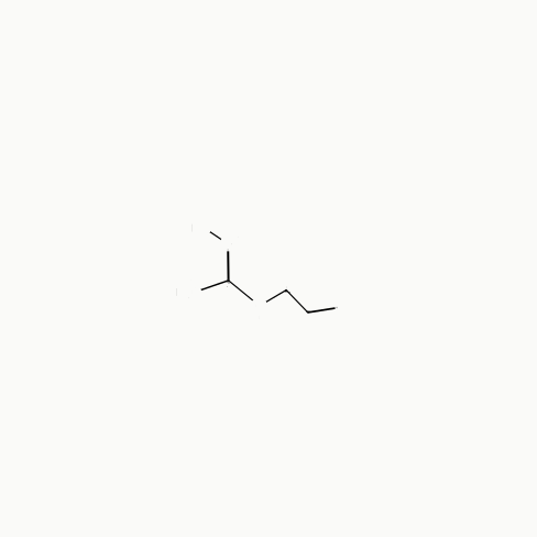 CC[C]OC(C)OC